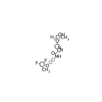 Cc1cc(F)cc(F)c1OC1CC2(CC(NC(=O)c3cnn4cc(OCC(C)(C)O)ccc34)C2)C1